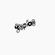 Cn1ccc2c(=O)[nH]c(N3CCN(c4ccc(S(C)(=O)=O)cc4F)CC3)nc21